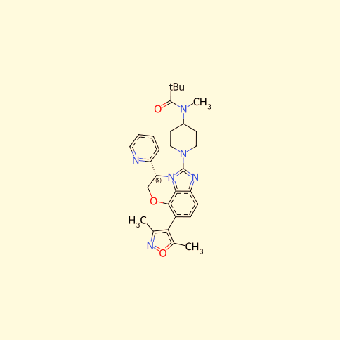 Cc1noc(C)c1-c1ccc2nc(N3CCC(N(C)C(=O)C(C)(C)C)CC3)n3c2c1OC[C@@H]3c1ccccn1